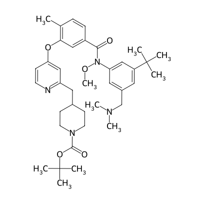 CON(C(=O)c1ccc(C)c(Oc2ccnc(CC3CCN(C(=O)OC(C)(C)C)CC3)c2)c1)c1cc(CN(C)C)cc(C(C)(C)C)c1